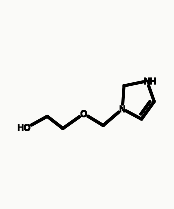 OCCOCN1C=CNC1